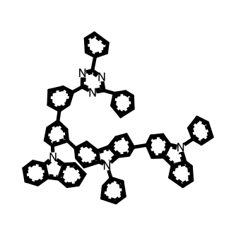 c1ccc(-c2nc(-c3ccccc3)nc(-c3cccc(-c4ccc(-n5c6ccccc6c6ccccc65)c(-c5ccc6c(c5)c5ccc(-c7ccc8c(c7)c7ccccc7n8-c7ccccc7)cc5n6-c5ccccc5)c4)c3)n2)cc1